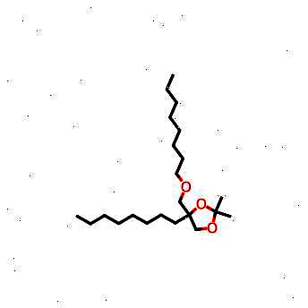 CCCCCCCCOCC1(CCCCCCCC)COC(C)(C)O1